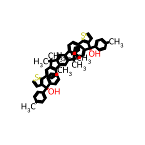 Cc1ccc(C(O)(c2ccc(C)cc2)c2ccsc2-c2ccc3c(c2)C(C)(C)c2cc4c(cc2-3)C(C)(C)c2cc(-c3sccc3C(O)(c3ccc(C)cc3)c3ccc(C)cc3)ccc2-4)cc1